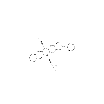 CC(C)[Si](C#Cc1c2cc3ccccc3cc2c(C#C[Si](C(C)C)(C(C)C)C(C)C)c2cc3cc(-c4ccccc4)ccc3cc12)(C(C)C)C(C)C